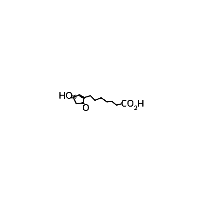 O=C(O)CCCCCCC1=C[C@H](O)CC1=O